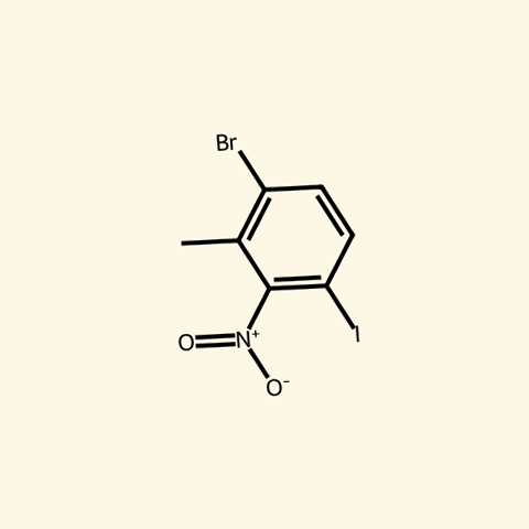 Cc1c(Br)ccc(I)c1[N+](=O)[O-]